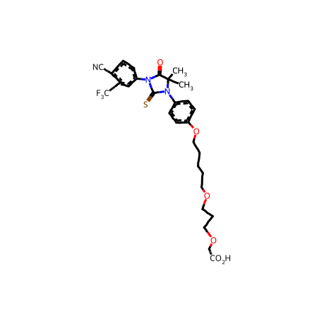 CC1(C)C(=O)N(c2ccc(C#N)c(C(F)(F)F)c2)C(=S)N1c1ccc(OCCCCCOCCCOCC(=O)O)cc1